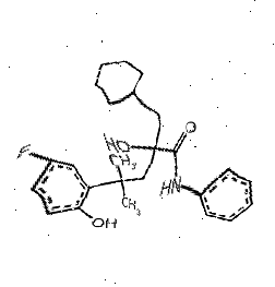 CC(C)(CC(O)(CC1CCCCC1)C(=O)Nc1ccccc1)c1cc(F)ccc1O